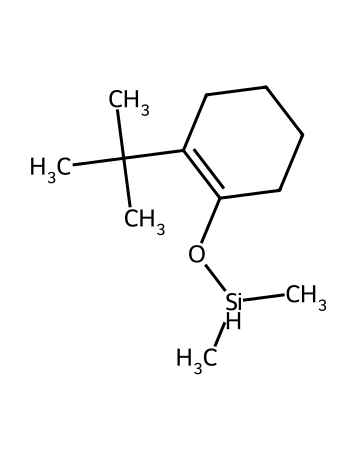 C[SiH](C)OC1=C(C(C)(C)C)CCCC1